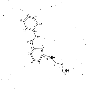 OCCNc1cccc(OCc2ccccc2)c1